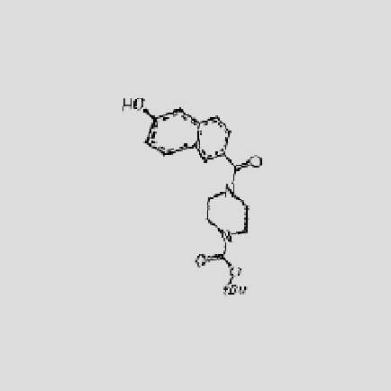 CC(C)(C)OC(=O)N1CCN(C(=O)c2ccc3cc(O)ccc3c2)CC1